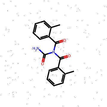 Cc1ccccc1C(=O)N(C(N)=O)C(=O)c1ccccc1C